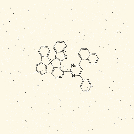 c1ccc(-c2cc(-c3cccc4ccccc34)nc(-c3cccc4c3-c3sc5ccccc5c3C43c4ccccc4-c4ccccc43)n2)cc1